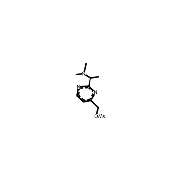 COCc1ccnc(C(C)N(C)C)n1